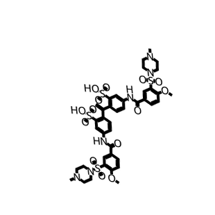 C=C(c1ccc(NC(=O)c2ccc(OC)c(S(=O)(=O)N3CCN(C)CC3)c2)cc1S(=O)(=O)O)c1ccc(NC(=O)c2ccc(OC)c(S(=O)(=O)N3CCN(C)CC3)c2)cc1S(=O)(=O)O